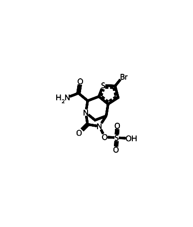 NC(=O)C1c2sc(Br)cc2C2CN1C(=O)N2OS(=O)(=O)O